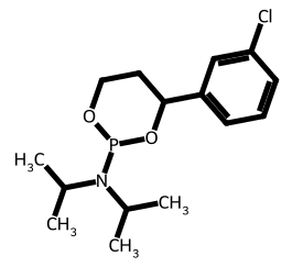 CC(C)N(C(C)C)P1OCCC(c2cccc(Cl)c2)O1